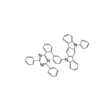 c1ccc(-c2nc(-c3ccccc3)nc(-c3ccccc3-c3cccc(-n4c5ccccc5c5cc6c(cc54)c4ccccc4n6-c4ccccc4)c3)n2)cc1